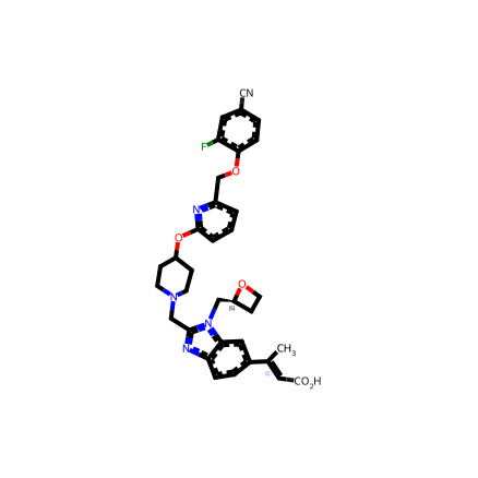 C/C(=C\C(=O)O)c1ccc2nc(CN3CCC(Oc4cccc(COc5ccc(C#N)cc5F)n4)CC3)n(C[C@@H]3CCO3)c2c1